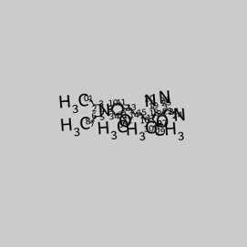 CCCCN(CCCC)c1ccc(C=CC=CC2=C(C#N)C(=C(C#N)C#N)OC2(C)C)c(OC)c1